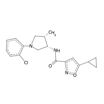 C[C@H]1CN(c2ccccc2Cl)C[C@H]1NC(=O)c1cc(C2CC2)on1